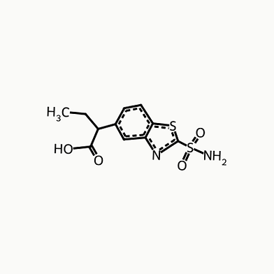 CCC(C(=O)O)c1ccc2sc(S(N)(=O)=O)nc2c1